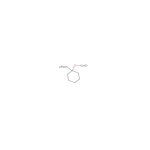 CCCCCC1(O[C]=O)CCCCC1